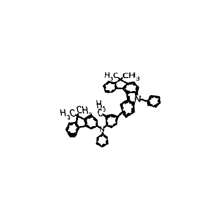 Cc1cc(-c2ccc3c(c2)c2c4c(ccc2n3-c2ccccc2)C(C)(C)c2ccccc2-4)ccc1N(c1ccccc1)c1ccc2c(c1)-c1c#cccc1C2(C)C